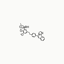 CCC[N+](O)(C=O)c1cc(CCc2ccc(C3=Cc4ccccc4C4=NCCN34)cc2)cc(OC)c1OC